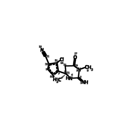 CN1C(=N)N[C@@](C)(c2scc(C#N)c2Cl)CC1=O